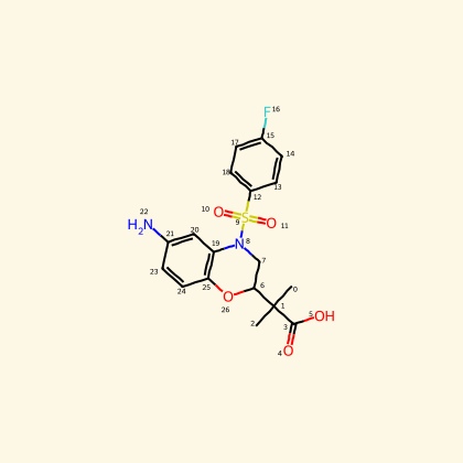 CC(C)(C(=O)O)C1CN(S(=O)(=O)c2ccc(F)cc2)c2cc(N)ccc2O1